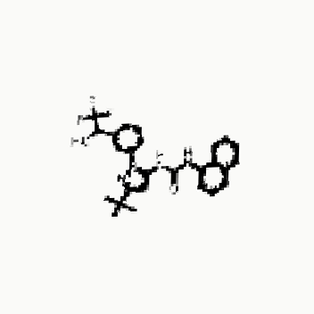 CC(C)(C)c1cc(NC(=O)Nc2cccc3ccccc23)n(-c2cccc(C(O)C(F)(F)F)c2)n1